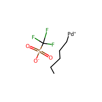 CCCC[CH2][Pd+].O=S(=O)([O-])C(F)(F)F